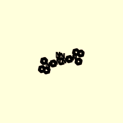 c1ccc(N(c2ccc(N3CCN(c4ccc(N(c5ccccc5)c5cccc6ccccc56)cc4)c4ncncc43)cc2)c2cccc3ccccc23)cc1